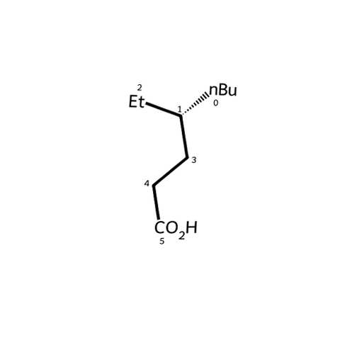 CCCC[C@@H](CC)CCC(=O)O